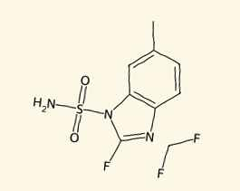 Cc1ccc2nc(F)n(S(N)(=O)=O)c2c1.FCF